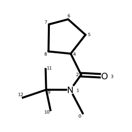 CN(C(=O)C1CCCC1)C(C)(C)C